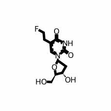 O=c1[nH]c(=O)n([C@H]2C[C@H](O)[C@@H](CO)O2)cc1CCF